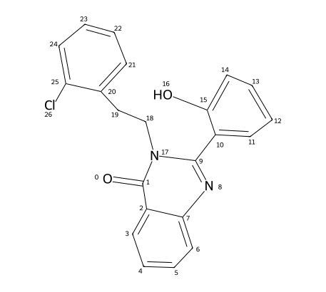 O=c1c2ccccc2nc(-c2ccccc2O)n1CCc1ccccc1Cl